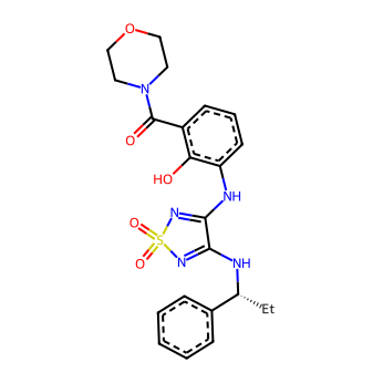 CC[C@@H](NC1=NS(=O)(=O)N=C1Nc1cccc(C(=O)N2CCOCC2)c1O)c1ccccc1